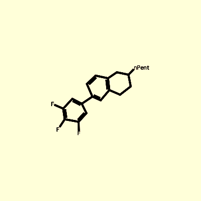 CCCCCC1CCc2cc(-c3cc(F)c(F)c(F)c3)ccc2C1